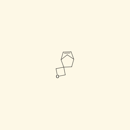 C1=CC2CC1CC21COC1